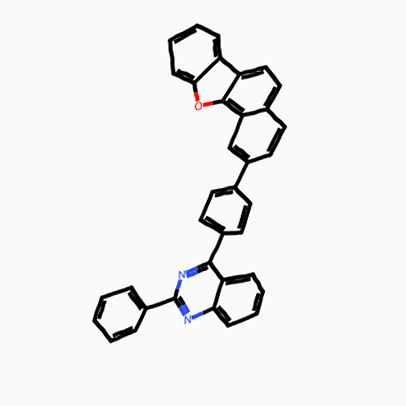 c1ccc(-c2nc(-c3ccc(-c4ccc5ccc6c7ccccc7oc6c5c4)cc3)c3ccccc3n2)cc1